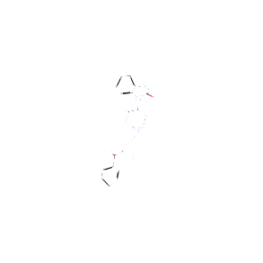 O=C(c1ccccc1)C(Cl)CCN1CCC(n2c(=O)[nH]c3ccccc32)C(F)C1